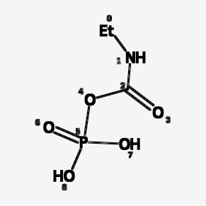 CCNC(=O)OP(=O)(O)O